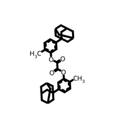 Cc1ccc(C23CC4CC(CC(C4)C2)C3)cc1OC(=O)C(=O)Oc1cc(C23CC4CC(CC(C4)C2)C3)ccc1C